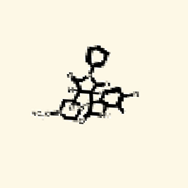 Cc1c(Cl)ccc2c1NC(=O)[C@@]21[C@H]2C(=O)N(c3ccccc3)C(=O)[C@H]2[C@H]2CN(C(=O)O)CCN21